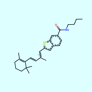 CCCCNC(=O)c1ccc2cc(/C=C(\C)C=CC3=C(C)CCCC3(C)C)sc2c1